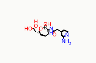 Nc1cc(CC(=O)N[C@H]2CC=C[C@H](CC(O)O)OB2O)ccn1